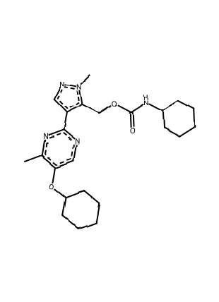 Cc1nc(-c2cnn(C)c2COC(=O)NC2CCCCC2)ncc1OC1CCCCC1